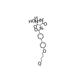 CNC(=O)C(C(=O)NO)N(C)C(=O)c1ccc(-c2ccc(OCCCCOC)cc2)cc1